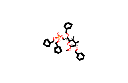 CO[C@H]1OC([C@@H](COP(=O)(OCc2ccccc2)OCc2ccccc2)OCc2ccccc2)[C@@H](C)C(C)[C@@H]1OCc1ccccc1